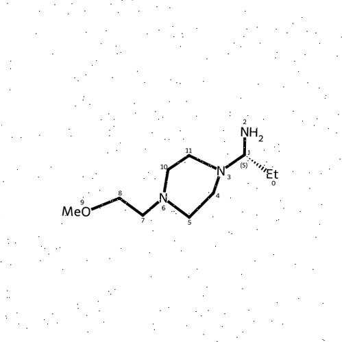 CC[C@@H](N)N1CCN(CCOC)CC1